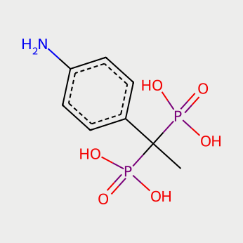 CC(c1ccc(N)cc1)(P(=O)(O)O)P(=O)(O)O